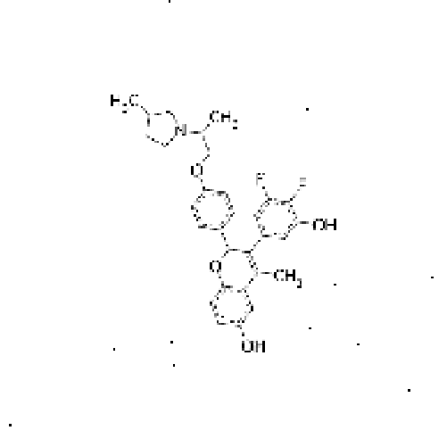 CC1=C(c2cc(O)c(F)c(F)c2)C(c2ccc(OCC(C)N3CCC(C)C3)cc2)Oc2ccc(O)cc21